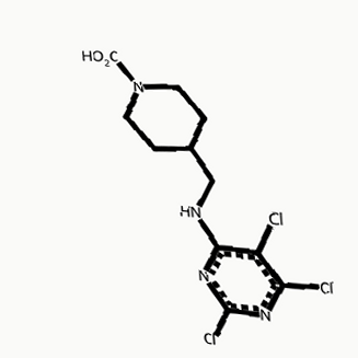 O=C(O)N1CCC(CNc2nc(Cl)nc(Cl)c2Cl)CC1